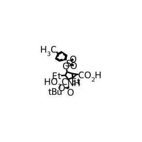 CCC1C(OS(=O)(=O)c2ccc(C)cc2)C2C(C(=O)O)C2(CC)C1(NC(=O)OC(C)(C)C)C(=O)O